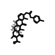 C=C(Cc1ccc(C)cc1)Cc1ccc2c(c1C)C(=C)C1=C(C)[C@@]3(C)C(=O)C(C(C)=O)=C(C)C[C@@]3(C)[C@H](C)[C@@]1(C)[C@@H]2C